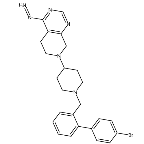 N=Nc1ncnc2c1CCN(C1CCN(Cc3ccccc3-c3ccc(Br)cc3)CC1)C2